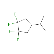 CC(C)C1CC(F)(F)C(F)(F)C1